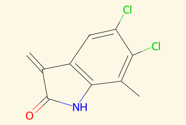 C=C1C(=O)Nc2c1cc(Cl)c(Cl)c2C